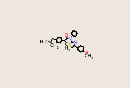 COc1ccc(-c2csc(N(C(=O)C(C)c3ccc(CC(C)C)cc3)c3ccccc3)n2)cc1